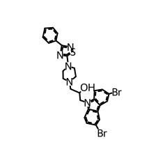 OC(CN1CCN(c2nc(-c3ccccc3)ns2)CC1)Cn1c2ccc(Br)cc2c2cc(Br)ccc21